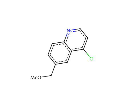 COCc1ccc2nccc(Cl)c2c1